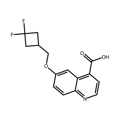 O=C(O)c1ccnc2ccc(OCC3CC(F)(F)C3)cc12